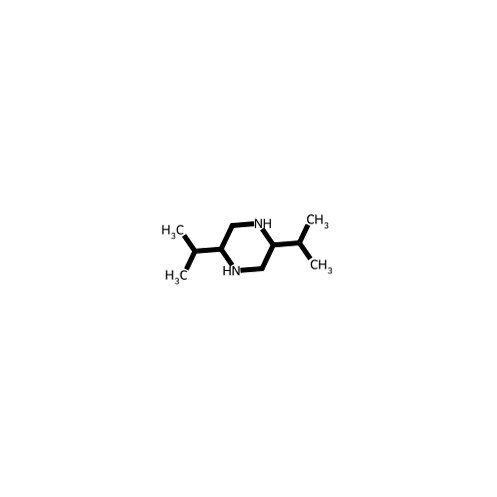 CC(C)C1CNC(C(C)C)CN1